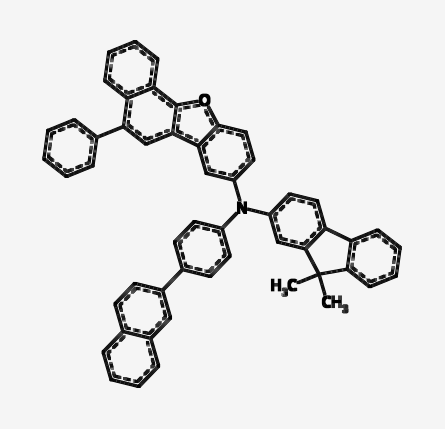 CC1(C)c2ccccc2-c2ccc(N(c3ccc(-c4ccc5ccccc5c4)cc3)c3ccc4oc5c6ccccc6c(-c6ccccc6)cc5c4c3)cc21